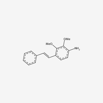 COc1c(N)ccc(C=Cc2ccccc2)c1OC